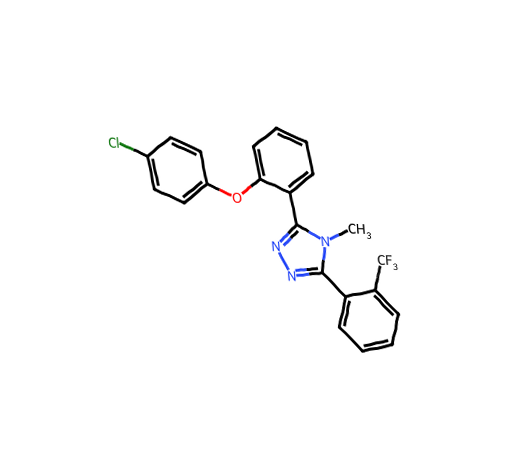 Cn1c(-c2ccccc2Oc2ccc(Cl)cc2)nnc1-c1ccccc1C(F)(F)F